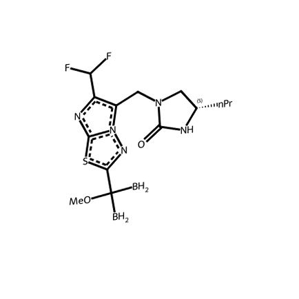 BC(B)(OC)c1nn2c(CN3C[C@H](CCC)NC3=O)c(C(F)F)nc2s1